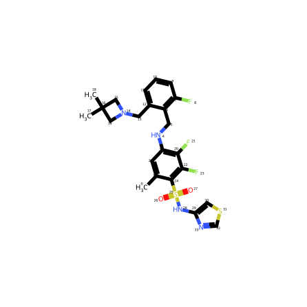 Cc1cc(NCc2c(F)cccc2CN2CC(C)(C)C2)c(F)c(F)c1S(=O)(=O)Nc1cscn1